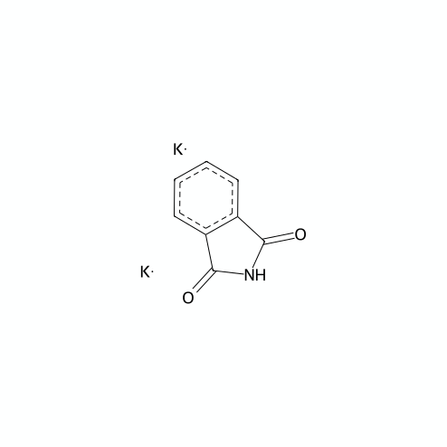 O=C1NC(=O)c2ccccc21.[K].[K]